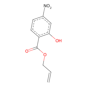 C=CCOC(=O)c1ccc([N+](=O)[O-])cc1O